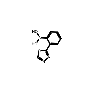 OB(O)c1ccccc1-c1nnco1